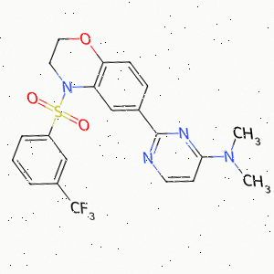 CN(C)c1ccnc(-c2ccc3c(c2)N(S(=O)(=O)c2cccc(C(F)(F)F)c2)CCO3)n1